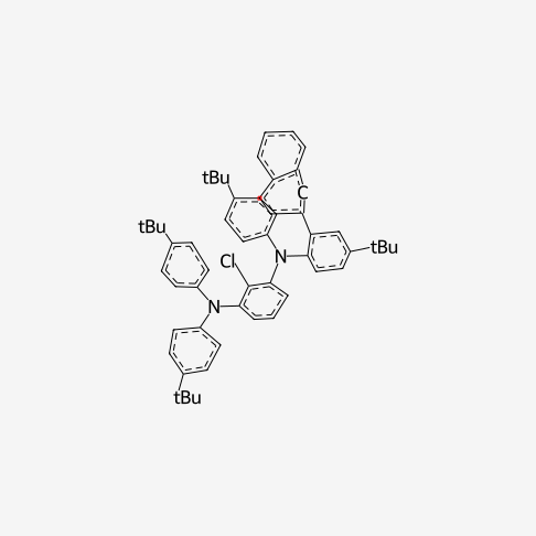 CC(C)(C)c1ccc(N(c2ccc(C(C)(C)C)cc2)c2cccc(N(c3ccc(C(C)(C)C)cc3)c3ccc(C(C)(C)C)cc3-c3ccc4ccccc4c3)c2Cl)cc1